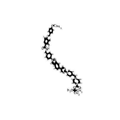 COc1ccc(COc2c(F)cc(C(=O)NCC3CCC(n4cc5ccc(-c6cnc(N7CCC(CN8CCN(C(=O)OC(C)(C)C)CC8)CC7)nc6)cc5n4)CC3)c(F)c2F)cc1